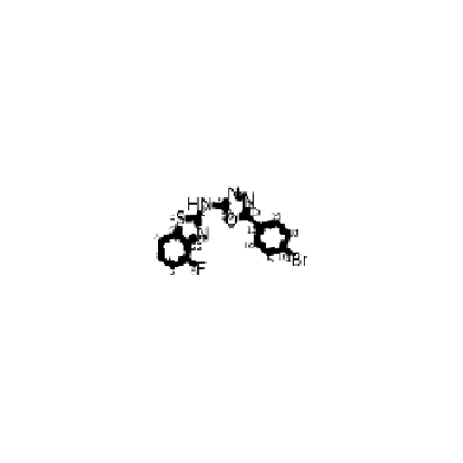 Fc1cccc2sc(Nc3nnc(-c4ccc(Br)cc4)o3)nc12